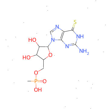 CP(=O)(O)OCC1OC(n2cnc3c(=S)[nH]c(N)nc32)C(O)C1O